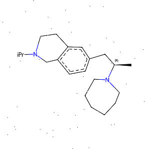 CC(C)N1CCc2cc(C[C@@H](C)N3CCCCCC3)ccc2C1